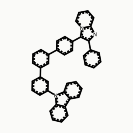 c1ccc(-c2nc3ccccn3c2-c2ccc(-c3cccc(-c4cccc(-n5c6ccccc6c6ccccc65)c4)c3)cc2)cc1